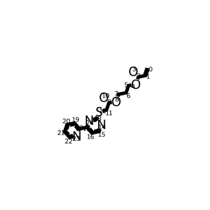 C=CC(=O)OCCCOC(=O)CSc1nccc(-c2ccccn2)n1